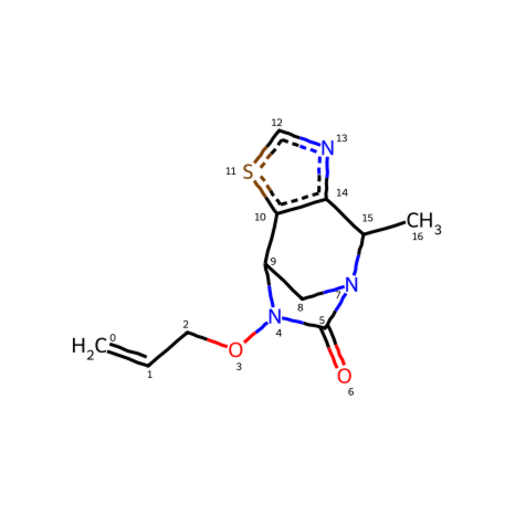 C=CCON1C(=O)N2CC1c1scnc1C2C